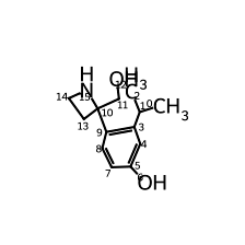 CC(C)c1cc(O)ccc1C1(CO)CCN1